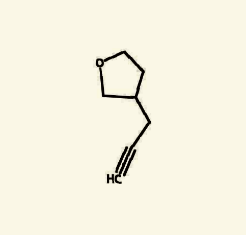 C#CCC1CCOC1